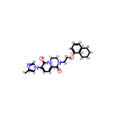 Cc1cn(-c2ccc3n(c2=O)CCN(CCOc2cccc4c2CCCC4)C3=O)cn1